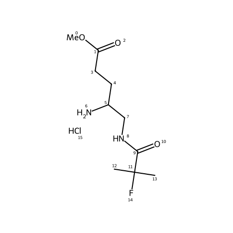 COC(=O)CCC(N)CNC(=O)C(C)(C)F.Cl